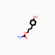 NC(=O)OCCCc1ccc(O)cc1